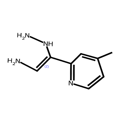 Cc1ccnc(/C(=C/N)NN)c1